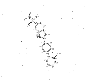 CN(C)S(=O)(=O)c1ccc2nc(-c3ccc(-c4ccccc4F)cc3)[nH]c2c1